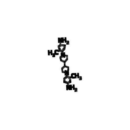 Cc1cc(N)ccc1N1CCC(C2CCN(c3ccc(N)cc3C)CC2)CC1